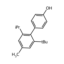 Cc1cc(C(C)C)c(-c2ccc(O)cc2)c(C(C)(C)C)c1